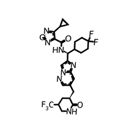 O=C(N[C@H](c1cn2ncc(C[C@@H]3CC(C(F)(F)F)CNC3=O)cc2n1)C1CCC(F)(F)CC1)c1nonc1C1CC1